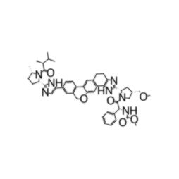 COC[C@H]1C[C@@H](c2nc3c([nH]2)-c2cc4c(cc2CC3)-c2ccc(-c3cnc([C@@H]5CC[C@H](C)N5C(=O)[C@@H](C)C(C)C)[nH]3)cc2CO4)N(C(=O)[C@H](NC(=O)OC)c2ccccc2)C1